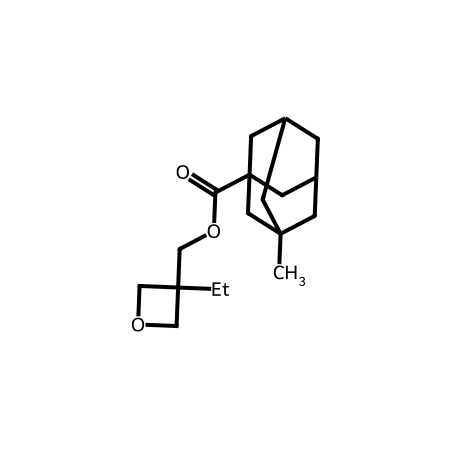 CCC1(COC(=O)C23CC4CC(CC(C)(C4)C2)C3)COC1